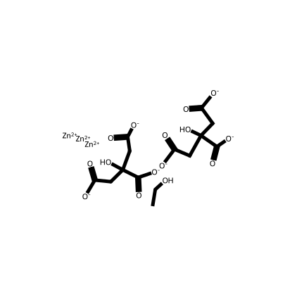 CCO.O=C([O-])CC(O)(CC(=O)[O-])C(=O)[O-].O=C([O-])CC(O)(CC(=O)[O-])C(=O)[O-].[Zn+2].[Zn+2].[Zn+2]